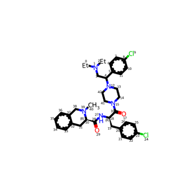 CCN(CC)CC(c1ccc(Cl)cc1)N1CCN(C(=O)[C@@H](Cc2ccc(Cl)cc2)NC(=O)[C@H]2Cc3ccccc3CN2C)CC1